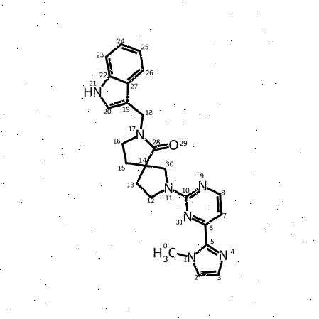 Cn1ccnc1-c1ccnc(N2CCC3(CCN(Cc4c[nH]c5ccccc45)C3=O)C2)n1